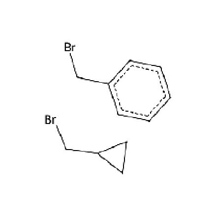 BrCC1CC1.BrCc1ccccc1